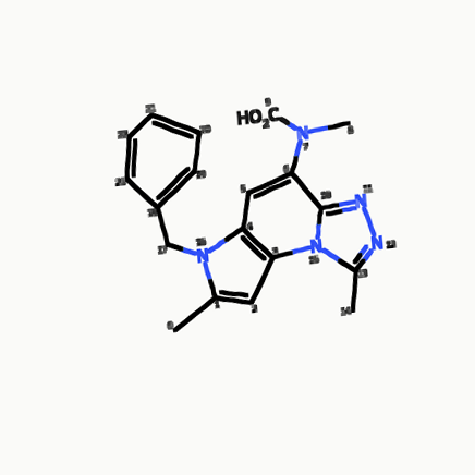 Cc1cc2c(cc(N(C)C(=O)O)c3nnc(C)n32)n1Cc1ccccc1